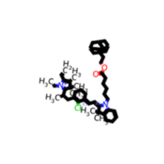 C=CC1=C(C)C(C)(C)C(C(C)CC2=C(Cl)/C(=C/C=C3/N(CCCCCC(=O)OCCC45CC6CC(CC(C6)C4)C5)C4=C(CCC=C4)C3(C)C)CCC2)=[N+]1CC